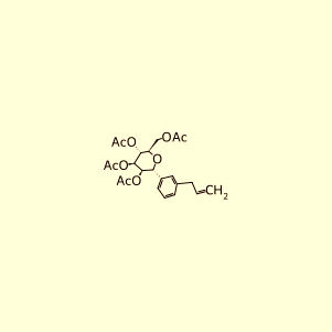 C=CCc1cccc([C@H]2O[C@H](COC(C)=O)[C@@H](OC(C)=O)[C@H](OC(C)=O)[C@@H]2OC(C)=O)c1